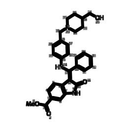 COC(=O)c1ccc2c(c1)NC(=O)C2=C(Nc1ccc(CN2CCC(CO)CC2)cc1)c1ccccc1